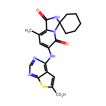 Cc1cc(Nc2ncnc3sc(C(=O)O)cc23)c(=O)n2c1C(=O)NC21CCCCC1